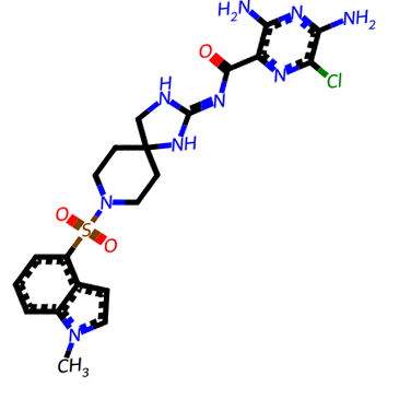 Cn1ccc2c(S(=O)(=O)N3CCC4(CC3)CN/C(=N\C(=O)c3nc(Cl)c(N)nc3N)N4)cccc21